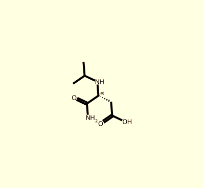 CC(C)N[C@H](CC(=O)O)C(N)=O